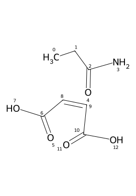 CCC(N)=O.O=C(O)/C=C\C(=O)O